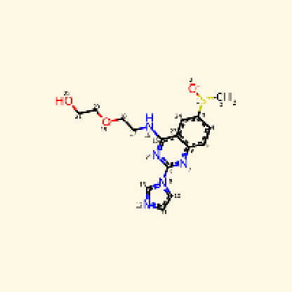 C[S+]([O-])c1ccc2nc(-n3ccnc3)nc(NCCOCCO)c2c1